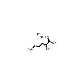 CSCC[C@H](N)C(=O)O.Cl.[NaH]